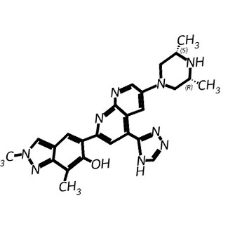 Cc1c(O)c(-c2cc(-c3nnc[nH]3)c3cc(N4C[C@@H](C)N[C@@H](C)C4)cnc3n2)cc2cn(C)nc12